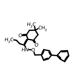 CCCC(NOCc1ccc(-c2ccccc2)cc1)=C1C(=O)CC(C)(C)CC1=O